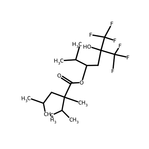 CC(C)CC(C)(C(=O)OC(CC(O)(C(F)(F)F)C(F)(F)F)C(C)C)C(C)C